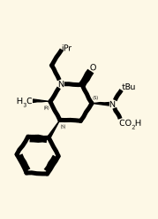 CC(C)CN1C(=O)[C@@H](N(C(=O)O)C(C)(C)C)C[C@@H](c2ccccc2)[C@H]1C